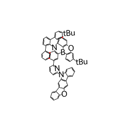 CC(C)(C)c1ccc2c(c1)Oc1cc(C(C)(C)C)cc3c1B2c1cc(-c2cccc(-n4c5ccccc5c5cc6oc7ccccc7c6cc54)n2)ccc1N3c1c(-c2ccccc2)cccc1-c1ccccc1